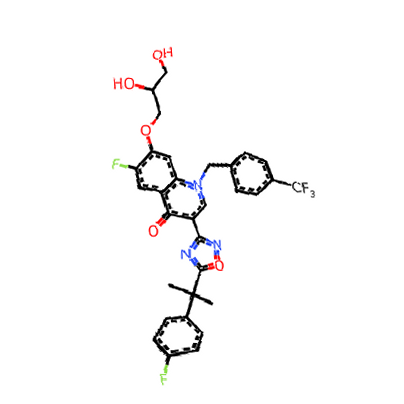 CC(C)(c1ccc(F)cc1)c1nc(-c2cn(Cc3ccc(C(F)(F)F)cc3)c3cc(OCC(O)CO)c(F)cc3c2=O)no1